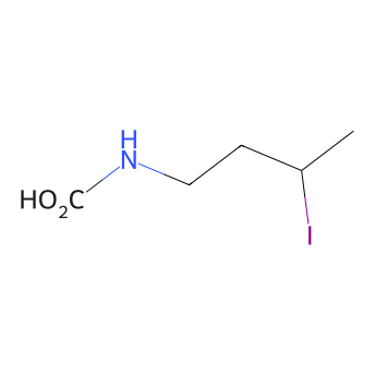 CC(I)CCNC(=O)O